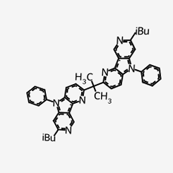 CCC(C)c1cc2c(cn1)c1nc(C(C)(C)c3ccc4c(n3)c3cnc(C(C)CC)cc3n4-c3ccccc3)ccc1n2-c1ccccc1